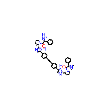 CN(C)[C@@H](C(=O)N1CCC[C@H]1c1ncc(-c2ccc(C#Cc3ccc(-c4cnc([C@@H]5CCCN5C(=O)[C@H](N)c5ccccc5)[nH]4)cc3)cc2)[nH]1)c1ccccc1